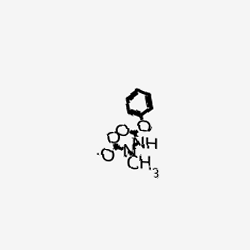 CN(NC(=O)Oc1ccccc1)C([O])=O